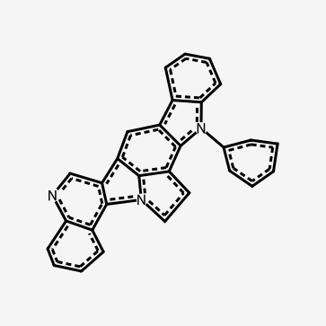 c1ccc(-n2c3ccccc3c3cc4c5cnc6ccccc6c5n5ccc(c32)c45)cc1